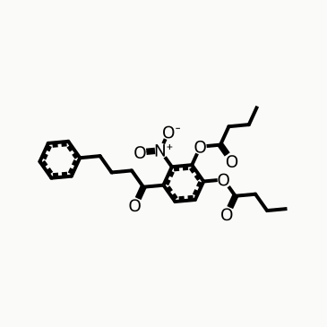 CCCC(=O)Oc1ccc(C(=O)CCCc2ccccc2)c([N+](=O)[O-])c1OC(=O)CCC